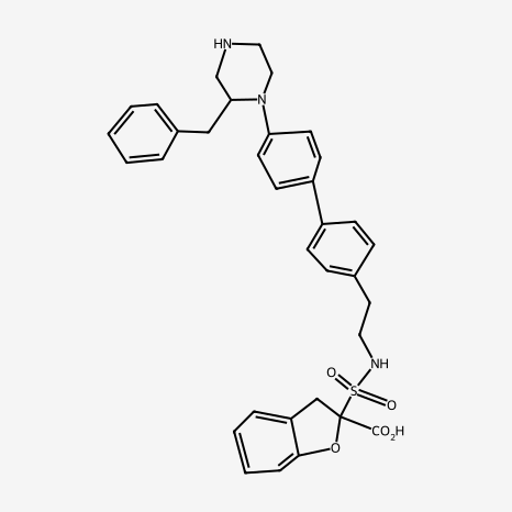 O=C(O)C1(S(=O)(=O)NCCc2ccc(-c3ccc(N4CCNCC4Cc4ccccc4)cc3)cc2)Cc2ccccc2O1